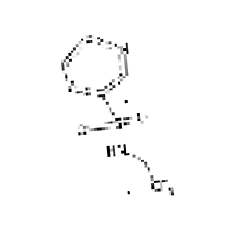 O=S(=O)(N[CH]C(F)(F)F)c1cccnc1